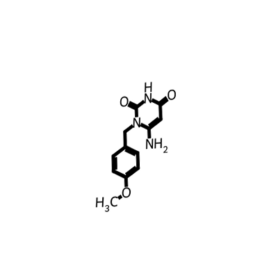 COc1ccc(Cn2c(N)cc(=O)[nH]c2=O)cc1